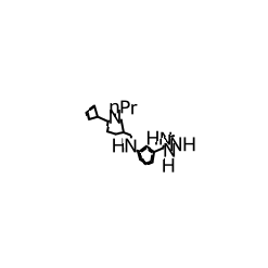 CCCN1CC(CNc2cccc(C3NCNN3)c2)CCC1C1CCC1